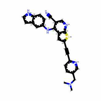 CN(C)Cc1ccc(C#Cc2cc3c(Nc4ccc5[nH]ccc5c4)c(C#N)cnc3s2)nc1